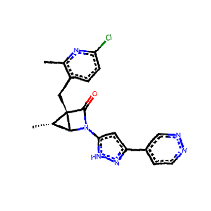 Cc1nc(Cl)ccc1C[C@@]12C(=O)N(c3cc(-c4ccnnc4)n[nH]3)C1[C@@H]2C